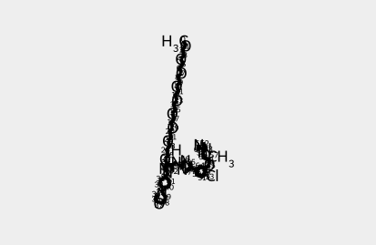 COCCOCCOCCOCCOCCOCCOCCOCCCOc1nn(C2CCC(N3CCOCC3)CC2)cc1Nc1ncc(-c2ccc(Cl)c(O[C@@H](C)Cn3cncn3)c2)cn1